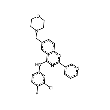 Fc1ccc(Nc2nc(-c3cccnc3)nc3ccc(CN4CCOCC4)cc23)cc1Cl